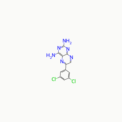 Nc1nc(N)c2nc(-c3cc(Cl)cc(Cl)c3)cnc2n1